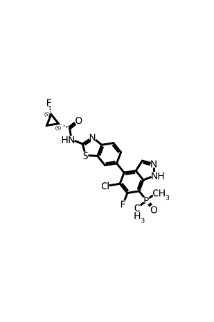 CP(C)(=O)c1c(F)c(Cl)c(-c2ccc3nc(NC(=O)[C@@H]4C[C@@H]4F)sc3c2)c2cn[nH]c12